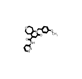 COc1ccc(Cn2c3c(c(C(=O)Nc4cccnn4)cc2=O)CCOCC3)cc1